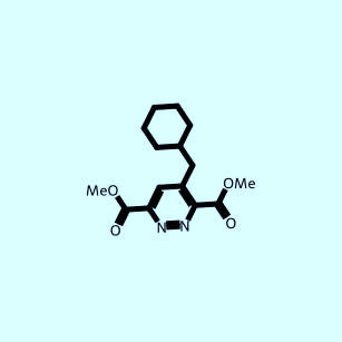 COC(=O)c1cc(CC2CCCCC2)c(C(=O)OC)nn1